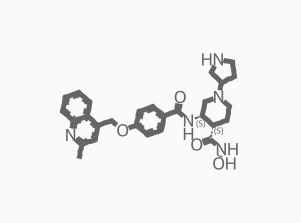 Cc1cc(COc2ccc(C(=O)N[C@@H]3CN(C4CCNC4)CC[C@@H]3C(=O)NO)cc2)c2ccccc2n1